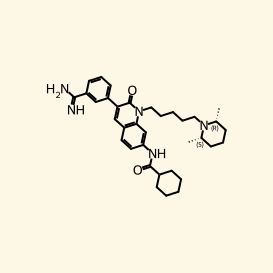 C[C@@H]1CCC[C@H](C)N1CCCCCn1c(=O)c(-c2cccc(C(=N)N)c2)cc2ccc(NC(=O)C3CCCCC3)cc21